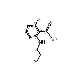 CC(C)CCNc1cccc(F)c1C(N)=O